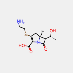 C[C@@H](O)[C@H]1C(=O)N2C(C(=O)O)=C(SCCN)C[C@H]12